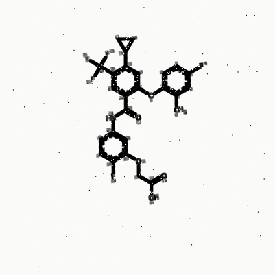 Cc1cc(F)ccc1Oc1cc(C2CC2)c(C(F)(F)F)cc1C(=O)Nc1ccc(F)c(OCC(=O)O)c1